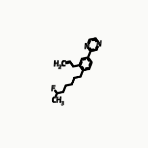 C=CCc1cc(-c2cnccn2)ccc1CCCCCC(C)F